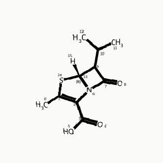 CC1=C(C(=O)O)N2C(=O)C(C(C)C)[C@H]2S1